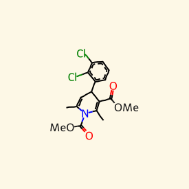 COC(=O)C1=C(C)N(C(=O)OC)C(C)=CC1c1cccc(Cl)c1Cl